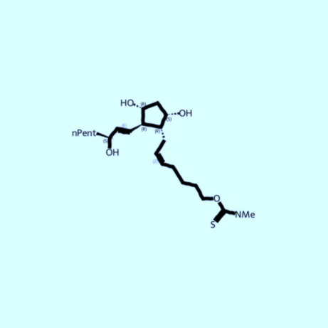 CCCCC[C@H](O)/C=C/[C@@H]1[C@@H](C/C=C\CCCCOC(=S)NC)[C@@H](O)C[C@H]1O